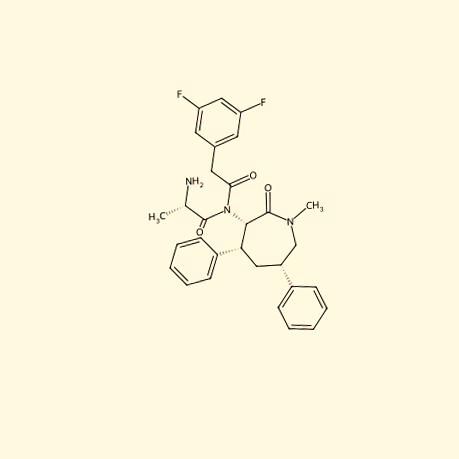 C[C@H](N)C(=O)N(C(=O)Cc1cc(F)cc(F)c1)[C@@H]1C(=O)N(C)C[C@H](c2ccccc2)C[C@@H]1c1ccccc1